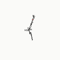 CCCCCCCCc1ccc(CCC(C)(CO)NC(=O)CCOCCOCCOCCOCCN=[N+]=[N-])cc1